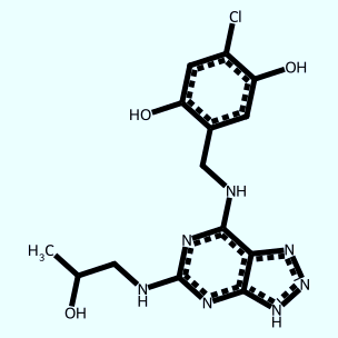 CC(O)CNc1nc(NCc2cc(O)c(Cl)cc2O)c2nn[nH]c2n1